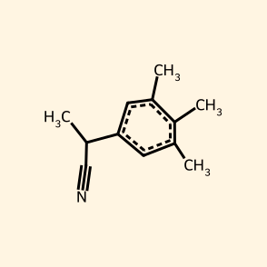 Cc1cc(C(C)C#N)cc(C)c1C